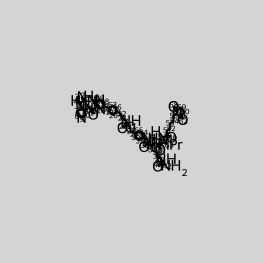 CCc1nccn1-c1ccncc1NC(=O)c1nc(-c2ccc(CCNC(=O)OCc3ccc(NC(=O)[C@H](CCCNC(N)=O)NC(=O)C(NC(=O)CCCCCN4C(=O)C=CC4=O)C(C)C)cc3)cc2)cnc1N